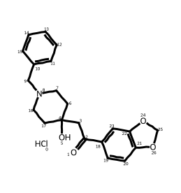 Cl.O=C(CC1(O)CCN(Cc2ccccc2)CC1)c1ccc2c(c1)OCO2